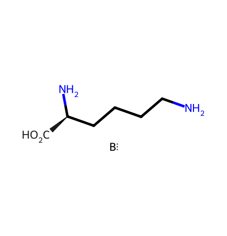 NCCCC[C@H](N)C(=O)O.[B]